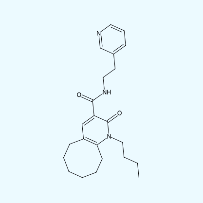 CCCCn1c2c(cc(C(=O)NCCc3cccnc3)c1=O)CCCCCC2